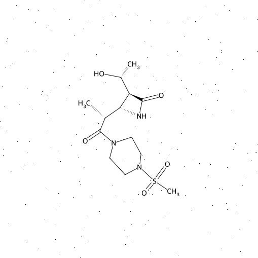 C[C@@H](O)[C@H]1C(=O)N[C@@H]1[C@@H](C)C(=O)N1CCN(S(C)(=O)=O)CC1